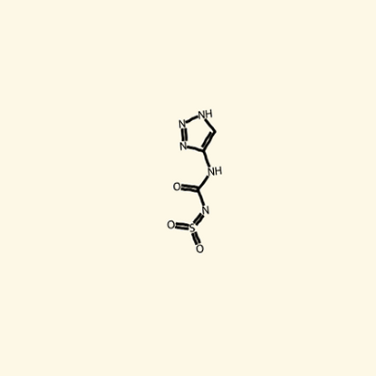 O=C(N=S(=O)=O)Nc1c[nH]nn1